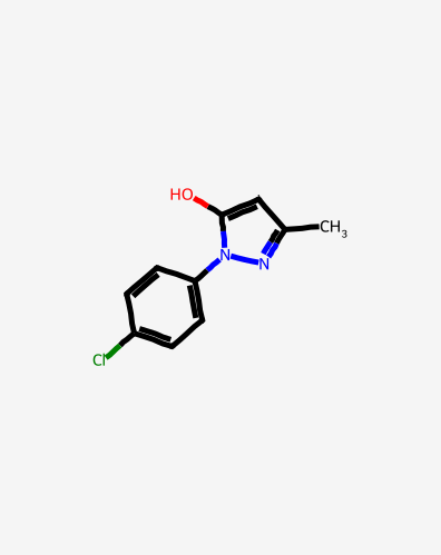 Cc1[c]c(O)n(-c2ccc(Cl)cc2)n1